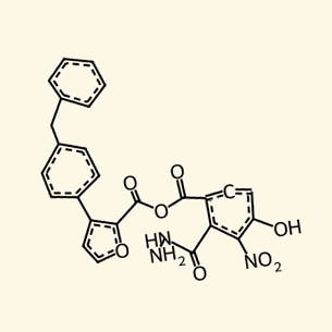 NNC(=O)c1c(C(=O)OC(=O)c2occc2-c2ccc(Cc3ccccc3)cc2)ccc(O)c1[N+](=O)[O-]